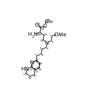 COCCN(CCCCc1ccc2c(n1)NCCC2)CCC(N)C(=O)OC(C)(C)C